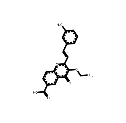 CCOc1c(/C=C/c2cccc(C)c2)oc2ccc(C(=O)O)cc2c1=O